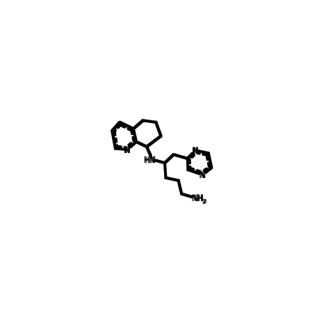 NCCCC(Cc1cnccn1)NC1CCCc2cccnc21